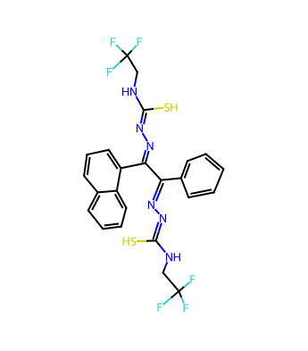 FC(F)(F)CN/C(S)=N/N=C(/C(=N/N=C(\S)NCC(F)(F)F)c1cccc2ccccc12)c1ccccc1